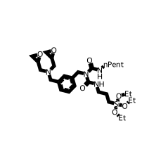 CCCCCNC(=O)N(Cc1cccc(CN(CC2CO2)CC2CO2)c1)C(=O)NCCC[Si](OCC)(OCC)OCC